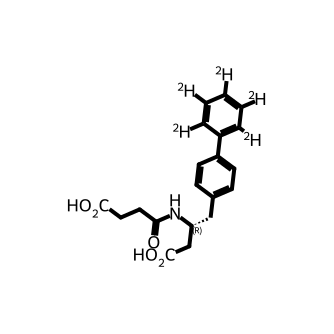 [2H]c1c([2H])c([2H])c(-c2ccc(C[C@H](CC(=O)O)NC(=O)CCC(=O)O)cc2)c([2H])c1[2H]